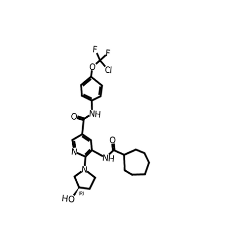 O=C(Nc1ccc(OC(F)(F)Cl)cc1)c1cnc(N2CC[C@@H](O)C2)c(NC(=O)C2CCCCCC2)c1